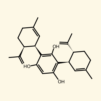 C=C(C)[C@H]1CCC(C)=C[C@H]1c1c(O)cc(O)c([C@@H]2C=C(C)CC[C@H]2C(=C)C)c1O